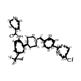 O=C(Nc1ccc(C(F)(F)F)cc1C1CCN(Cc2ccc(-c3ncc(Cl)cn3)cc2)CC1)c1ccncc1